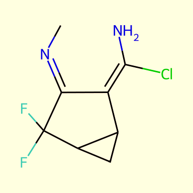 C/N=C1\C(=C(/N)Cl)C2CC2C1(F)F